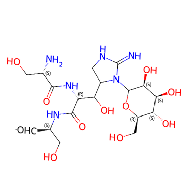 N=C1NCC(C(O)[C@@H](NC(=O)[C@@H](N)CO)C(=O)N[C@H]([C]=O)CO)N1C1O[C@H](CO)[C@@H](O)[C@H](O)[C@@H]1O